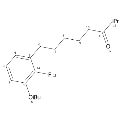 CC(C)COc1cccc(CCCCCC(=O)C(C)C)c1F